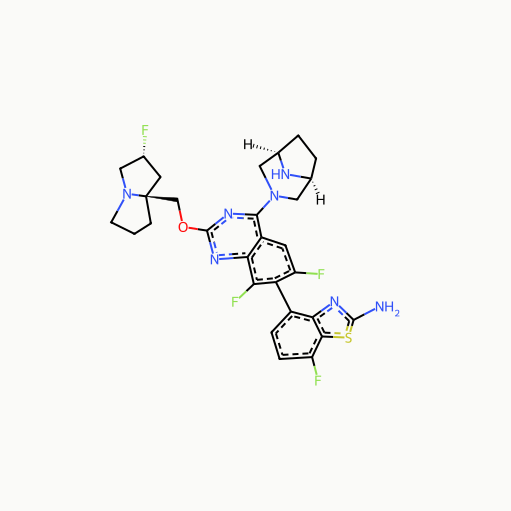 Nc1nc2c(-c3c(F)cc4c(N5C[C@H]6CC[C@@H](C5)N6)nc(OC[C@@]56CCCN5C[C@H](F)C6)nc4c3F)ccc(F)c2s1